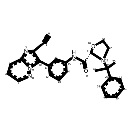 C#Cc1nc2cccnn2c1-c1cccc(NC(=O)[C@@H]2OCCN2C(C)(C)c2ccccc2)c1